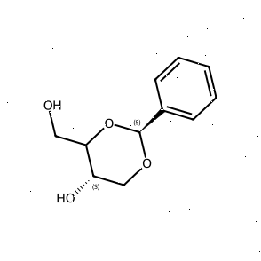 OCC1O[C@@H](c2ccccc2)OC[C@@H]1O